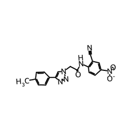 Cc1ccc(-c2cn(CC(=O)Nc3ccc([N+](=O)[O-])cc3C#N)nn2)cc1